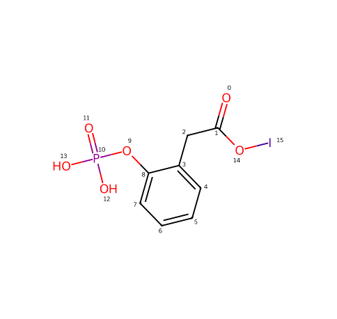 O=C(Cc1ccccc1OP(=O)(O)O)OI